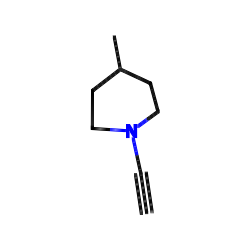 C#CN1CCC(C)CC1